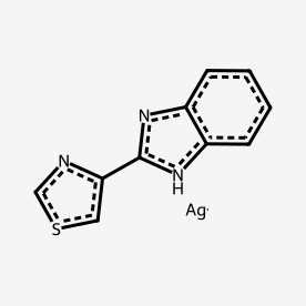 [Ag].c1ccc2[nH]c(-c3cscn3)nc2c1